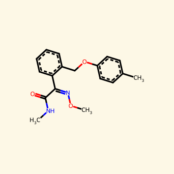 CNC(=O)C(=NOC)c1ccccc1COc1ccc(C)cc1